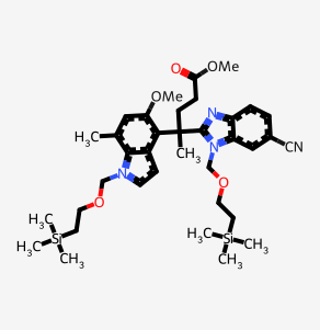 COC(=O)CCC(C)(c1c(OC)cc(C)c2c1ccn2COCC[Si](C)(C)C)c1nc2ccc(C#N)cc2n1COCC[Si](C)(C)C